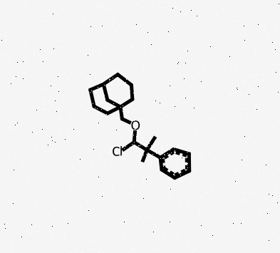 CC(C)(c1ccccc1)C(Cl)OCC12CCCC(CCC1)C2